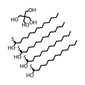 CCCCCCCCCCCCC(O)=S.CCCCCCCCCCCCC(O)=S.CCCCCCCCCCCCC(O)=S.CCCCCCCCCCCCC(O)=S.OCC(CO)(CO)CO